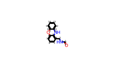 O=[C]NCc1cccc2c1Nc1ccccc1O2